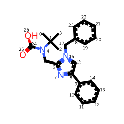 CC(C)(C)N(Cc1nc(-c2ccccc2)cn1Cc1ccccc1)C(=O)O